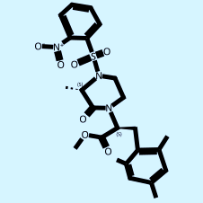 COC(=O)[C@H](Cc1c(C)cc(C)cc1C)N1CCN(S(=O)(=O)c2ccccc2[N+](=O)[O-])[C@@H](C)C1=O